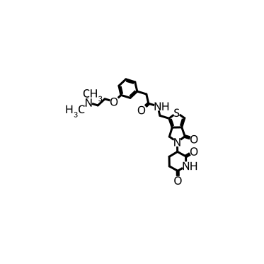 CN(C)CCOc1cccc(CC(=O)NCc2scc3c2CN(C2CCC(=O)NC2=O)C3=O)c1